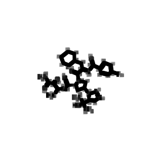 CC(NC(=O)[C@@H]1C[C@H](n2nncc2C(C)(C)O)CN1C(=O)/C(CC1CCCCC1)=N/C(=O)c1ccc(F)cc1)C(=O)C(N)=O